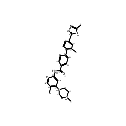 Cc1nnc(-c2ccc(-c3ccc(C(=O)Nc4ccc(C)c(N5CCN(C)CC5)c4)cc3)c(C)c2)o1